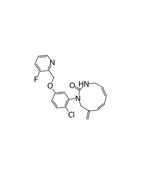 C=C1/C=C\C=C/CNC(=O)N(c2cc(OCc3ncccc3F)ccc2Cl)C1